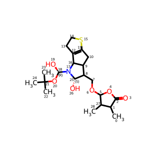 CC1C(=O)OC(OCC2C3CC4=C(CCS4)C3N([C@H](O)OC(C)(C)C)[C@H]2O)C1C